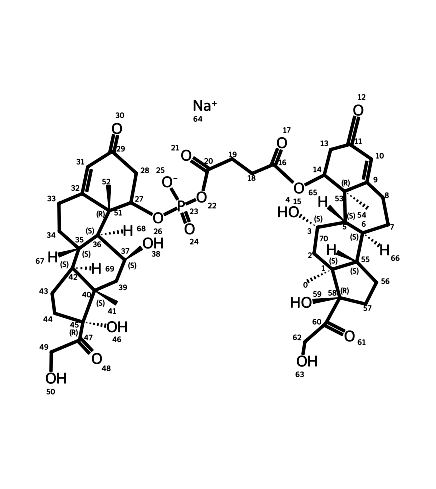 C[C@]12C[C@H](O)[C@H]3[C@@H](CCC4=CC(=O)CC(OC(=O)CCC(=O)OP(=O)([O-])OC5CC(=O)C=C6CC[C@@H]7[C@H]([C@@H](O)C[C@@]8(C)[C@H]7CC[C@]8(O)C(=O)CO)[C@]65C)[C@@]43C)[C@@H]1CC[C@]2(O)C(=O)CO.[Na+]